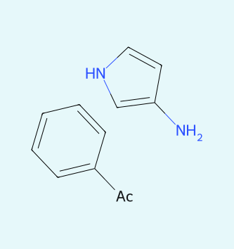 CC(=O)c1ccccc1.Nc1cc[nH]c1